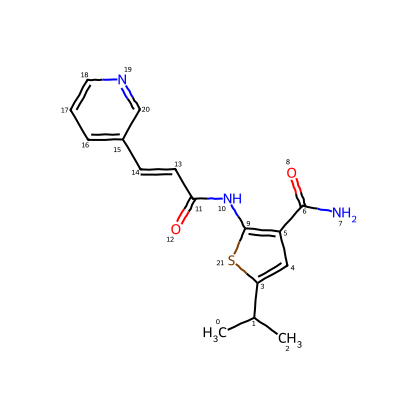 CC(C)c1cc(C(N)=O)c(NC(=O)C=Cc2cccnc2)s1